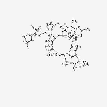 CC[C@H]1OC(=O)[C@H](C)[C@@H](O[C@H]2C[C@@](C)(OC)[C@@H](O)[C@H](C)O2)[C@H](C)[C@@H](O[C@@H]2O[C@H](C)C[C@H](N(C)CCCCc3cn(C[C@H]4CN(c5cccc(F)c5)C(=O)O4)nn3)[C@H]2O)[C@](C)(O)C[C@@H](C)CN(C)[C@H](C)[C@@H](O)[C@]1(C)O